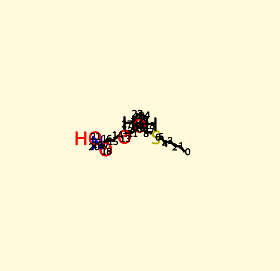 CCCCCCSCC[C@H]1[C@@H](CCOCCCC(=O)N(C)O)[C@H]2CC[C@@H]1O2